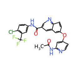 CC(=O)Nc1cc(Oc2ccc3ncc(C(=O)Nc4ccc(Cl)c(C(F)(F)F)c4)cc3c2)ccn1